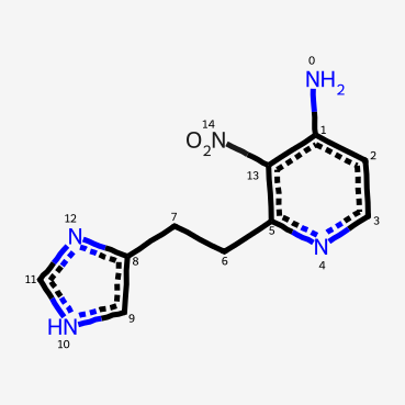 Nc1ccnc(CCc2c[nH]cn2)c1[N+](=O)[O-]